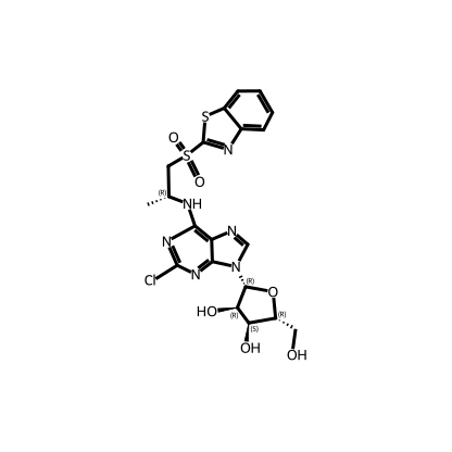 C[C@H](CS(=O)(=O)c1nc2ccccc2s1)Nc1nc(Cl)nc2c1ncn2[C@@H]1O[C@H](CO)[C@@H](O)[C@H]1O